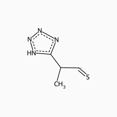 CC([C]=S)c1nnn[nH]1